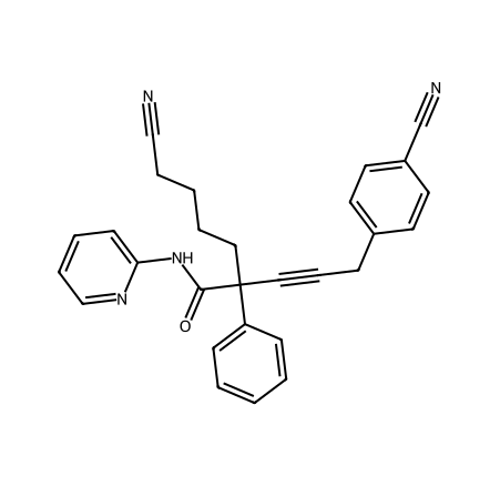 N#CCCCCC(C#CCc1ccc(C#N)cc1)(C(=O)Nc1ccccn1)c1ccccc1